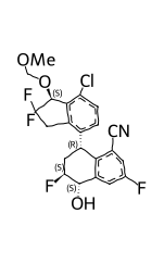 COCO[C@H]1c2c(Cl)ccc([C@H]3C[C@H](F)[C@@H](O)c4cc(F)cc(C#N)c43)c2CC1(F)F